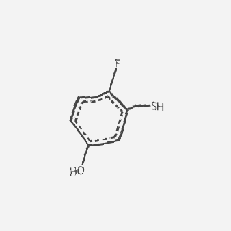 Oc1ccc(F)c(S)c1